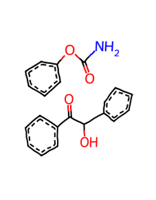 NC(=O)Oc1ccccc1.O=C(c1ccccc1)C(O)c1ccccc1